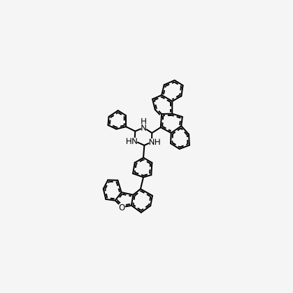 c1ccc(C2NC(c3ccc(-c4cccc5oc6ccccc6c45)cc3)NC(c3c4ccccc4cc4c3ccc3ccccc34)N2)cc1